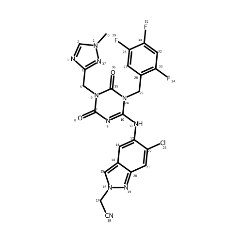 Cn1cnc(Cn2c(=O)nc(Nc3cc4cn(CC#N)nc4cc3Cl)n(Cc3cc(F)c(F)cc3F)c2=O)n1